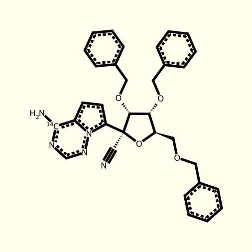 N#C[C@@]1(c2ccc3[14c](N)ncnn23)O[C@H](COCc2ccccc2)[C@@H](OCc2ccccc2)[C@H]1OCc1ccccc1